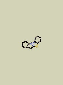 c1ccc2c(c1)cc1sc3ccccc3n12